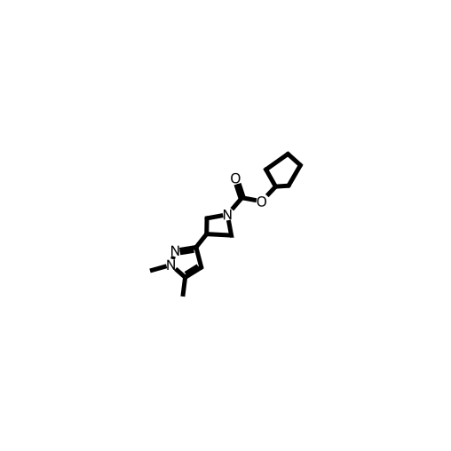 Cc1cc(C2CN(C(=O)OC3CCCC3)C2)nn1C